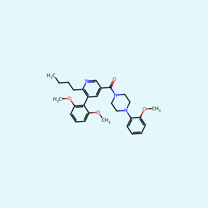 CCCCc1ncc(C(=O)N2CCN(c3ccccc3OC)CC2)cc1-c1c(OC)cccc1OC